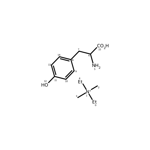 CC[N+](C)(C)CC.NC(Cc1ccc(O)cc1)C(=O)O